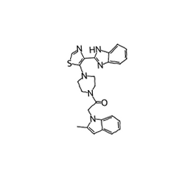 Cc1cc2ccccc2n1CC(=O)N1CCN(c2scnc2-c2nc3ccccc3[nH]2)CC1